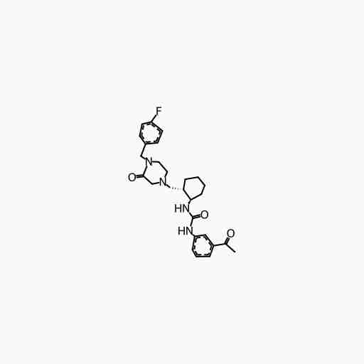 CC(=O)c1cccc(NC(=O)N[C@@H]2CCCC[C@H]2CN2CCN(Cc3ccc(F)cc3)C(=O)C2)c1